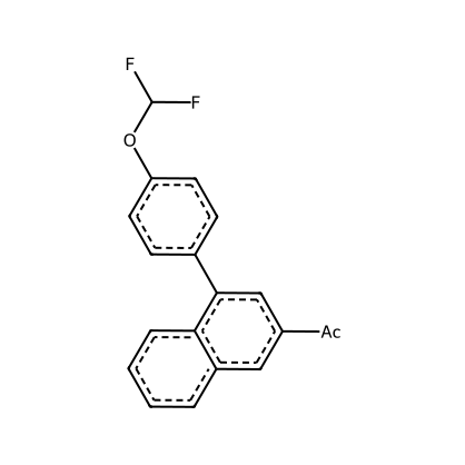 CC(=O)c1cc(-c2ccc(OC(F)F)cc2)c2ccccc2c1